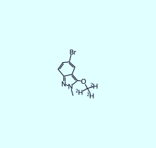 [2H]C([2H])([2H])Oc1c2cc(Br)ccc2nn1C